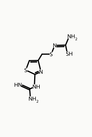 N=C(N)Nc1nc(CSN=C(N)S)cs1